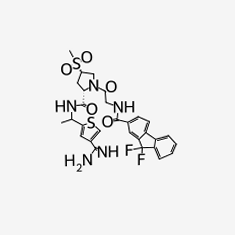 CC(NC(=O)[C@@H]1C[C@@H](S(C)(=O)=O)CN1C(=O)CNC(=O)c1ccc2c(c1)C(F)(F)c1ccccc1-2)c1cc(C(=N)N)cs1